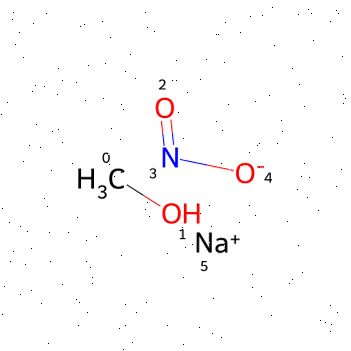 CO.O=N[O-].[Na+]